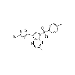 Cc1ccc(S(=O)(=O)n2cc(-c3nc(Br)cs3)c3ncc(C)nc32)cc1